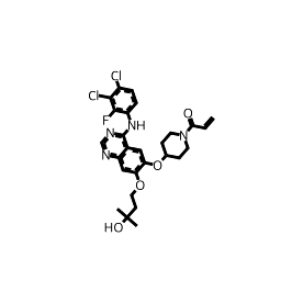 C=CC(=O)N1CCC(Oc2cc3c(Nc4ccc(Cl)c(Cl)c4F)ncnc3cc2OCCC(C)(C)O)CC1